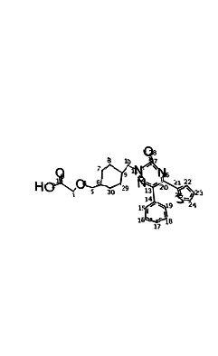 O=C(O)COCC1CCC(Cn2nc(-c3ccccc3)c(-c3cccs3)nc2=O)CC1